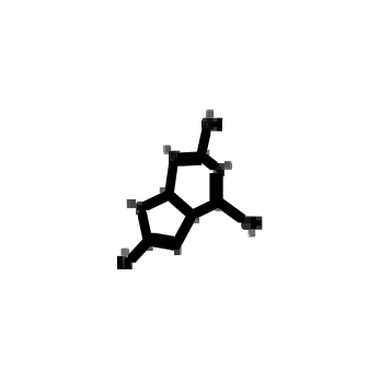 CCC1=CC2C(O)=NC(O)=NC2S1